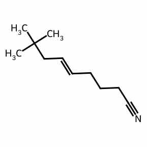 CC(C)(C)C/C=C/CCCC#N